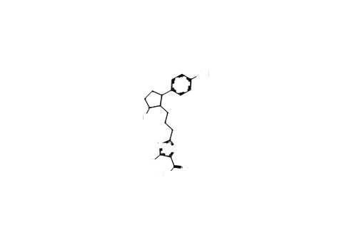 O=C(O)c1sc(CCCC2C(F)CCC2c2ccc(O)cc2)nc1F